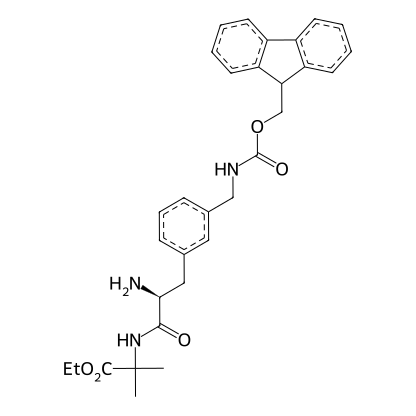 CCOC(=O)C(C)(C)NC(=O)[C@@H](N)Cc1cccc(CNC(=O)OCC2c3ccccc3-c3ccccc32)c1